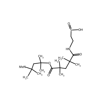 CNC(C)(C)CC(C)(C)OC(=O)C(C)(C)CC(C)(C)C(=O)NCCS(=O)O